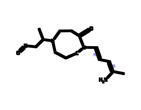 C/C(N)=C/C=C/N1CCCN(C(C)CN=O)CCC1=O